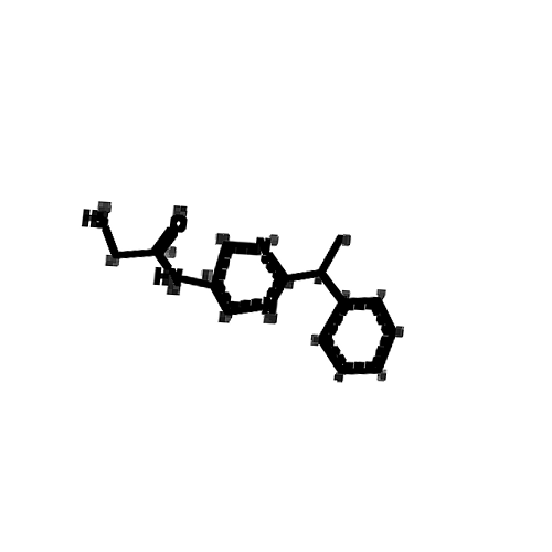 CC(c1ccccc1)c1ncc(NC(=O)CS)cn1